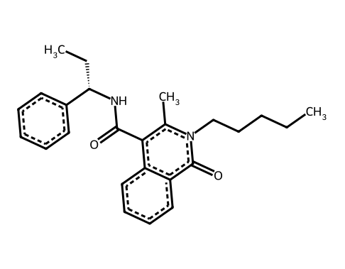 CCCCCn1c(C)c(C(=O)N[C@@H](CC)c2ccccc2)c2ccccc2c1=O